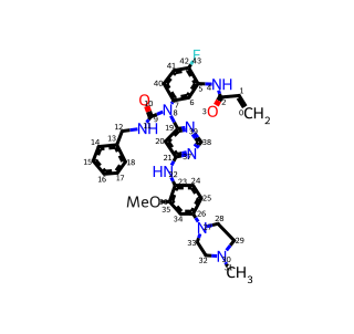 C=CC(=O)Nc1cc(N(C(=O)NCc2ccccc2)c2cc(Nc3ccc(N4CCN(C)CC4)cc3OC)ncn2)ccc1F